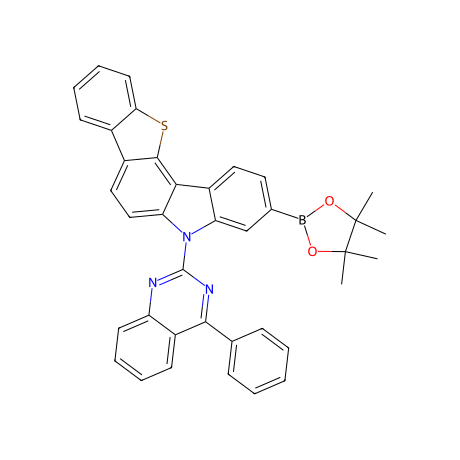 CC1(C)OB(c2ccc3c4c5sc6ccccc6c5ccc4n(-c4nc(-c5ccccc5)c5ccccc5n4)c3c2)OC1(C)C